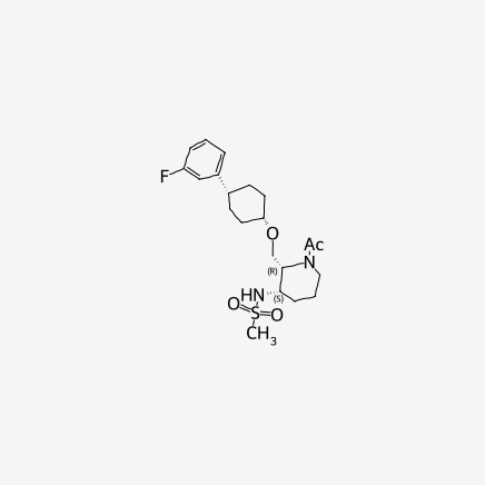 CC(=O)N1CCC[C@H](NS(C)(=O)=O)[C@@H]1CO[C@H]1CC[C@@H](c2cccc(F)c2)CC1